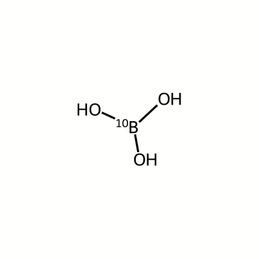 O[10B](O)O